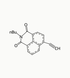 C#Cc1ccc2c3c(cccc13)C(=O)N(CCCC)C2=O